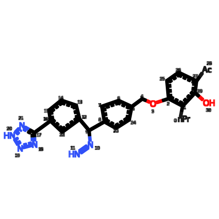 CCCc1c(OCc2ccc(C(N=N)c3cccc(-c4nn[nH]n4)c3)cc2)ccc(C(C)=O)c1O